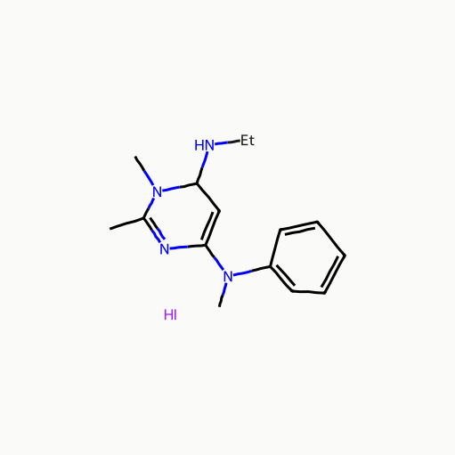 CCNC1C=C(N(C)c2ccccc2)N=C(C)N1C.I